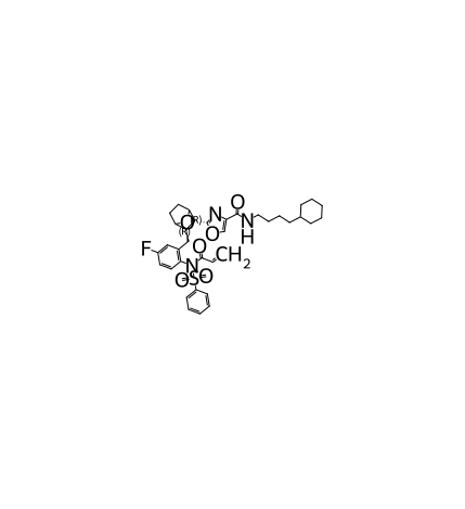 C=CC(=O)N(c1ccc(F)cc1C[C@H]1C2CCC(O2)[C@@H]1c1nc(C(=O)NCCCCC2CCCCC2)co1)S(=O)(=O)c1ccccc1